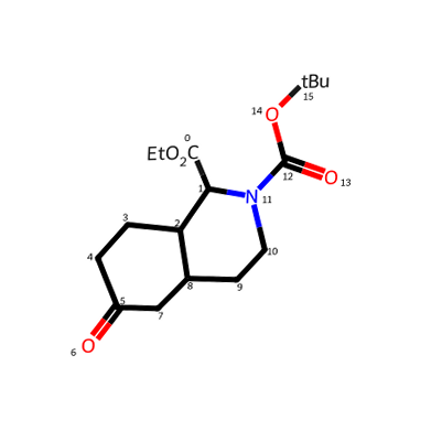 CCOC(=O)C1C2CCC(=O)CC2CCN1C(=O)OC(C)(C)C